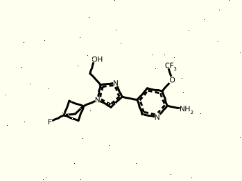 Nc1ncc(-c2cn(C34CC(F)(C3)C4)c(CO)n2)cc1OC(F)(F)F